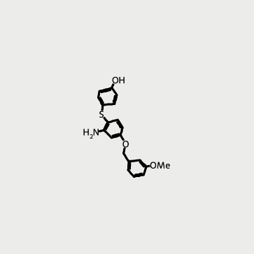 COc1cccc(COc2ccc(Sc3ccc(O)cc3)c(N)c2)c1